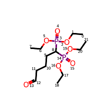 CCOP(=O)(OCC)C(CCCC=O)P(=O)(OCC)OCC